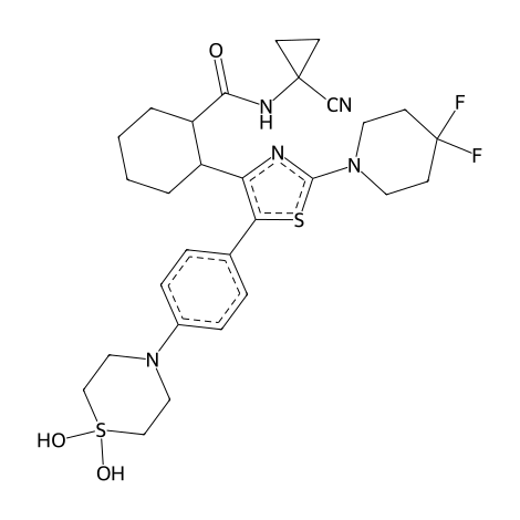 N#CC1(NC(=O)C2CCCCC2c2nc(N3CCC(F)(F)CC3)sc2-c2ccc(N3CCS(O)(O)CC3)cc2)CC1